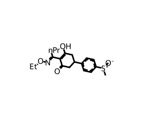 CCCC(=NOCC)C1=C(O)CC(c2ccc([S+](C)[O-])cc2)CC1=O